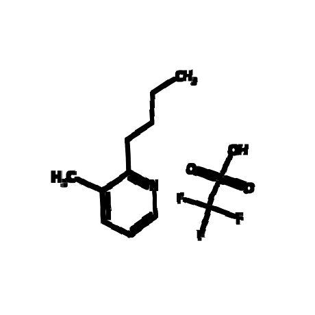 CCCCc1ncccc1C.O=S(=O)(O)C(F)(F)F